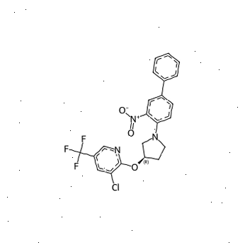 O=[N+]([O-])c1cc(-c2ccccc2)ccc1N1CC[C@@H](Oc2ncc(C(F)(F)F)cc2Cl)C1